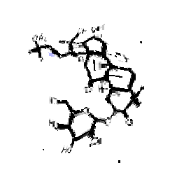 CC[C@@]12C[C@@H](O)[C@H]([C@@](C)(O)C(=O)/C=C/C(C)(C)OC(C)=O)[C@@]1(C)CC(=O)[C@@]1(C)[C@@H]3C[C@H](OC4OC(CO)C(O)C(O)C4O)C(=O)C(C)(C)C3=CC[C@H]12